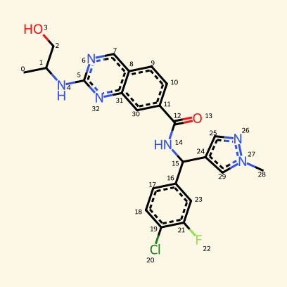 CC(CO)Nc1ncc2ccc(C(=O)NC(c3ccc(Cl)c(F)c3)c3cnn(C)c3)cc2n1